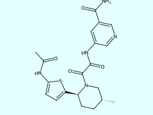 CC(=O)Nc1ccc([C@@H]2CC[C@@H](C)CN2C(=O)C(=O)Nc2cncc(C(N)=O)c2)s1